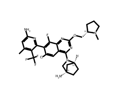 Cc1cc(N)nc(-c2c(Cl)cc3c(N4C[C@]5(N)CC[C@H]4C5)nc(OC[C@@H]4CCCN4C)nc3c2F)c1C(F)(F)F